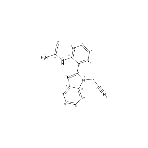 N#CCn1c(-c2nccnc2NC(N)=O)nc2ccccc21